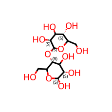 OCC1O[C@@H](O[C@H]2C(CO)O[C@H](O)[C@@H](O)C2O)[C@@H](O)C(O)[C@@H]1O